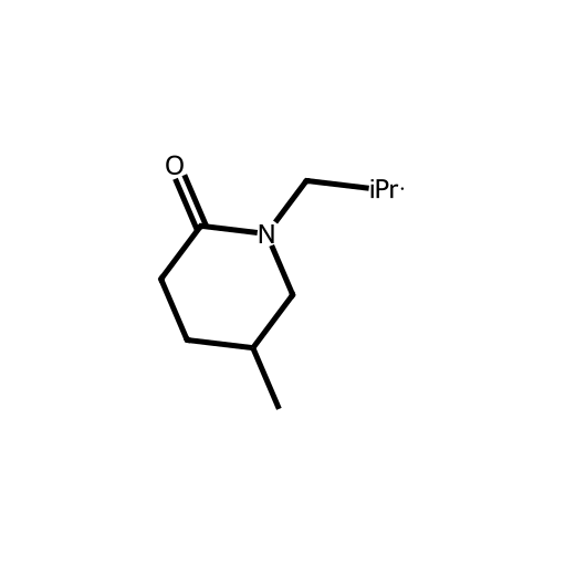 C[C](C)CN1CC(C)CCC1=O